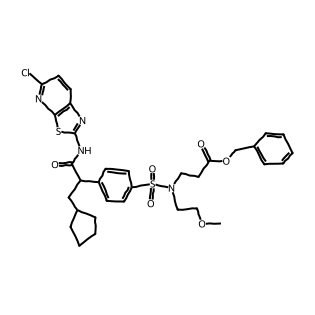 COCCN(CCC(=O)OCc1ccccc1)S(=O)(=O)c1ccc(C(CC2CCCC2)C(=O)Nc2nc3ccc(Cl)nc3s2)cc1